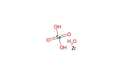 O.O=[Se](=O)(O)O.[Zr]